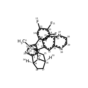 Cn1nc2c(c1-c1cc(F)c(F)c(F)c1)C[C@H]1CC[C@@H]2N1C(=O)c1ccc2nccnc2c1